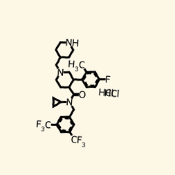 Cc1cc(F)ccc1C1CN(CC2CCNCC2)CCC1C(=O)N(Cc1cc(C(F)(F)F)cc(C(F)(F)F)c1)C1CC1.Cl.Cl